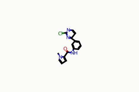 Cn1cccc1C(=O)Nc1cccc(-c2ccnc(Cl)n2)c1